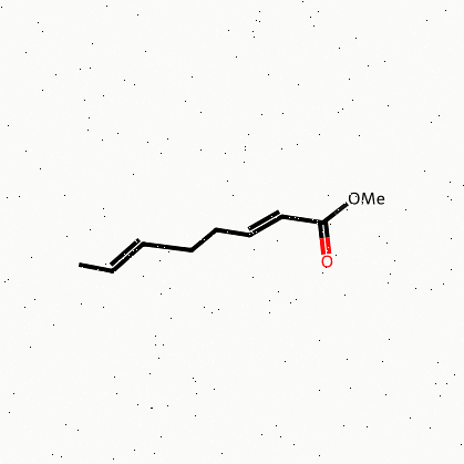 CC=CCCC=CC(=O)OC